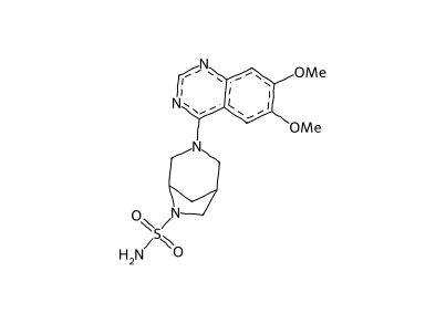 COc1cc2ncnc(N3CC4CC(C3)N(S(N)(=O)=O)C4)c2cc1OC